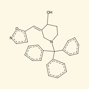 OC1CCN(C(c2ccccc2)(c2ccccc2)c2ccccc2)C/C1=C\c1ccno1